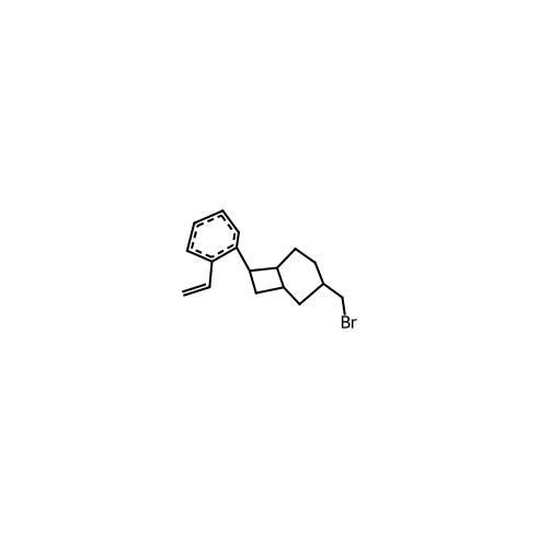 C=Cc1ccccc1C1CC2CC(CBr)CCC21